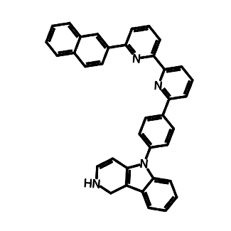 C1=Cc2c(c3ccccc3n2-c2ccc(-c3cccc(-c4cccc(-c5ccc6ccccc6c5)n4)n3)cc2)CN1